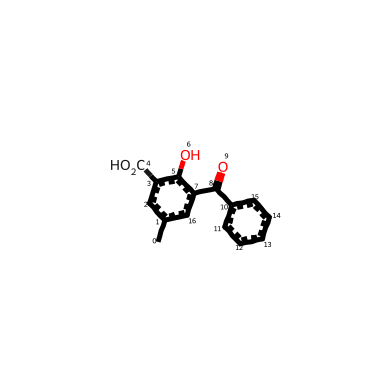 Cc1cc(C(=O)O)c(O)c(C(=O)c2ccccc2)c1